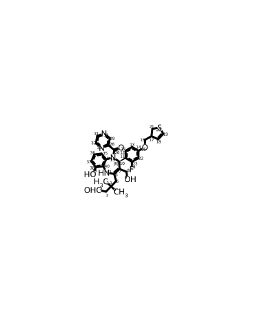 CC(C)(CC=O)CC1=C(CO)[C@H](c2ccc(OCC3C=CSC3)cc2F)N(C(=O)c2cnccn2)c2cccc(O)c2N1